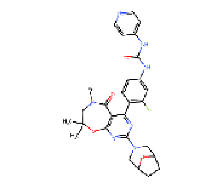 CCN1CC(C)(C)Oc2nc(N3CC4CCC(C3)O4)nc(-c3ccc(NC(=O)Nc4ccncc4)cc3F)c2C1=O